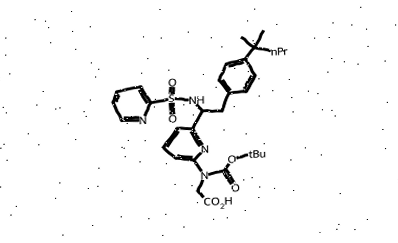 CCCC(C)(C)c1ccc(CC(NS(=O)(=O)c2ccccn2)c2cccc(N(CC(=O)O)C(=O)OC(C)(C)C)n2)cc1